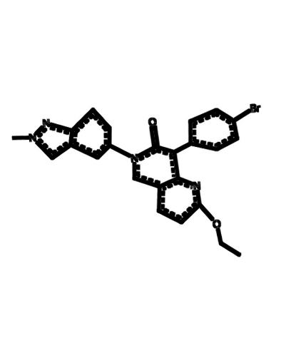 CCOc1ccc2cn(-c3ccc4nn(C)cc4c3)c(=O)c(-c3ccc(Br)cc3)c2n1